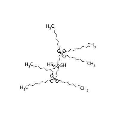 CCCCCCCCO[Si](CCCS(S)(CCC[Si](OCCCCCCCC)(OCCCCCCCC)OCCCCCCCC)SS)(OCCCCCCCC)OCCCCCCCC